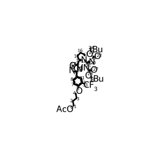 CC(=O)OCCCCOc1ccc(-c2noc(C3CCCN3C(=NC(=O)OC(C)(C)C)NC(=O)OC(C)(C)C)n2)cc1C(F)(F)F